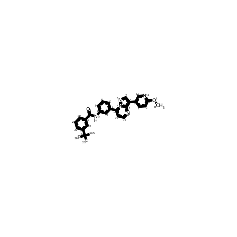 COc1ccc(-c2cnn3c(-c4cccc(NC(=O)c5cccc(C(F)(F)F)c5)c4)ccnc23)cn1